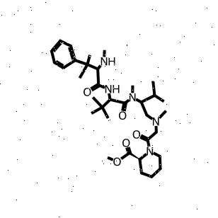 CNC(C(=O)NC(C(=O)N(C)C(CN(C)CC(=O)N1CCCC[C@H]1C(=O)OC)C(C)C)C(C)(C)C)C(C)(C)c1ccccc1